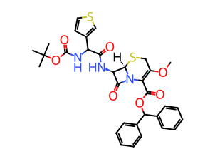 COC1=C(C(=O)OC(c2ccccc2)c2ccccc2)N2C(=O)[C@@H](NC(=O)C(NC(=O)OC(C)(C)C)c3ccsc3)[C@H]2SC1